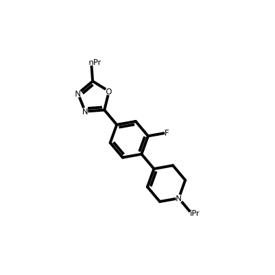 CCCc1nnc(-c2ccc(C3=CCN(C(C)C)CC3)c(F)c2)o1